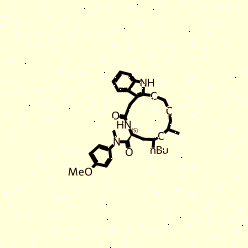 CCCCC1CC(C)CCCCc2[nH]c3ccccc3c2CC(=O)N[C@H](C(=O)N(C)c2ccc(OC)cc2)C1